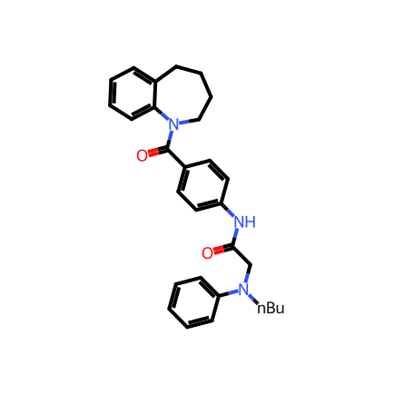 CCCCN(CC(=O)Nc1ccc(C(=O)N2CCCCc3ccccc32)cc1)c1ccccc1